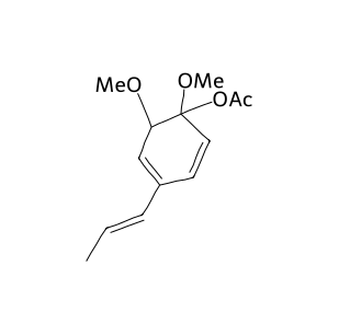 CC=CC1=CC(OC)C(OC)(OC(C)=O)C=C1